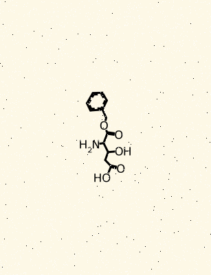 NC(C(=O)OCc1ccccc1)C(O)CC(=O)O